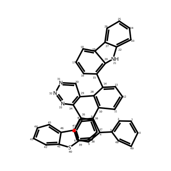 c1ccc(-c2ccccc2-c2cccc(-c3cccc4c3[nH]c3ccccc34)c2-c2cnnnc2-c2cccc3sc4ccccc4c23)cc1